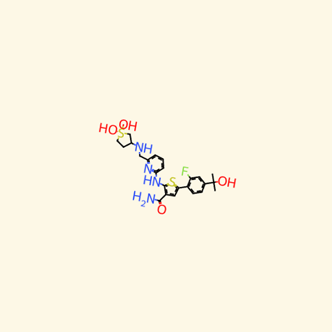 CC(C)(O)c1ccc(-c2cc(C(N)=O)c(Nc3cccc(CNC4CCS(O)(O)C4)n3)s2)c(F)c1